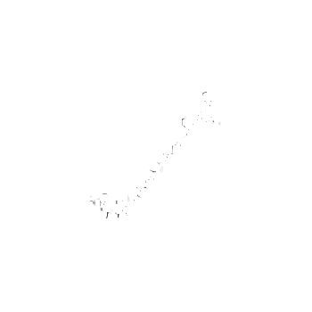 C=C(NC(=O)N(C)C(=O)CNC(=O)NC(=O)CNC(=O)NC(=O)CNC(=O)CNCCN(CCN(CCN(C)CC(=O)O)CC(=O)O)CC(=O)O)C(=O)N1CCCC1B(O)O